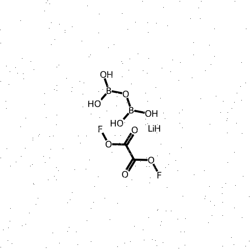 O=C(OF)C(=O)OF.OB(O)OB(O)O.[LiH]